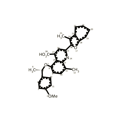 COc1ccc([C@H](C)Oc2ccc(C)c3nc(-c4oc5ccccc5c4C)cc(C(=O)O)c23)cc1